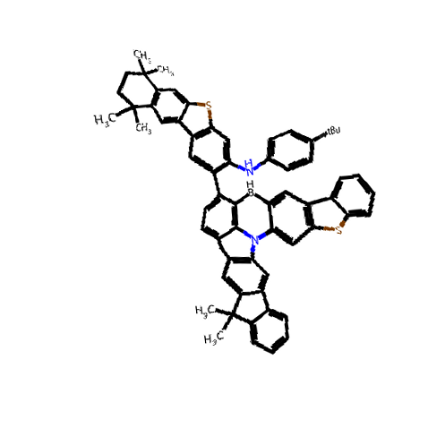 CC(C)(C)c1ccc(Nc2cc3sc4cc5c(cc4c3cc2-c2ccc3c4cc6c(cc4n4c3c2Bc2cc3c(cc2-4)sc2ccccc23)-c2ccccc2C6(C)C)C(C)(C)CCC5(C)C)cc1